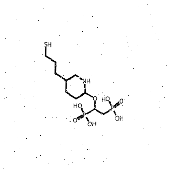 O=P(O)(O)CC(OC1CCC(CCCS)CN1)P(=O)(O)O